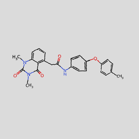 Cc1ccc(Oc2ccc(NC(=O)Cc3cccc4c3c(=O)n(C)c(=O)n4C)cc2)cc1